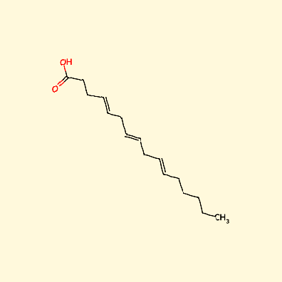 CCCCCC=CCC=CCC=CCCC(=O)O